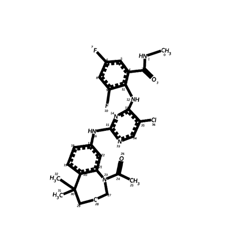 CNC(=O)c1cc(F)cc(F)c1Nc1nc(Nc2ccc3c(c2)N(C(C)=O)CCCC3(C)C)ncc1Cl